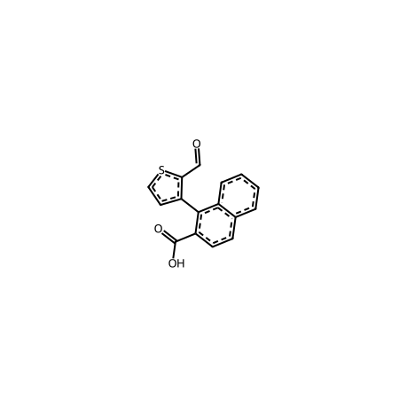 O=Cc1sccc1-c1c(C(=O)O)ccc2ccccc12